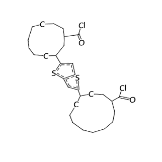 O=C(Cl)C1CCCCCCCCC(c2cc3sc(C4CCCCCCCCC(C(=O)Cl)C4)cc3s2)CC1